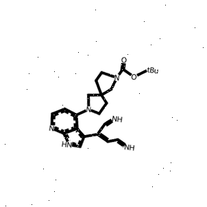 CC(C)(C)OC(=O)N1CCC2(CCN(c3ccnc4[nH]cc(/C(C=N)=C/C=N)c34)C2)C1